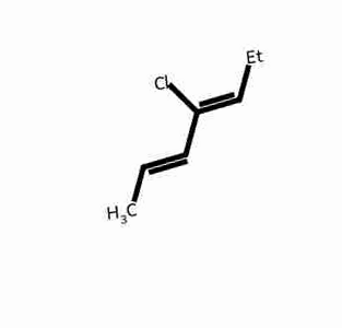 CC=CC(Cl)=CCC